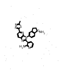 Cc1nnc(-c2ccc3nc(-c4cccnc4N)n(-c4ccc5c(c4)CC[C@@H]5N)c3n2)s1